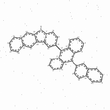 c1ccc2cc(-c3c4ccccc4c(-c4ccc5sc6cc7ccccc7cc6c5c4)c4ccccc34)ccc2c1